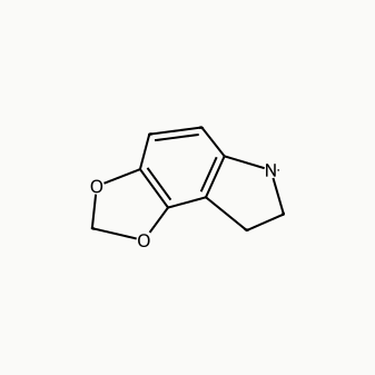 c1cc2c(c3c1[N]CC3)OCO2